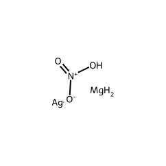 O=[N+]([O-])O.[Ag].[MgH2]